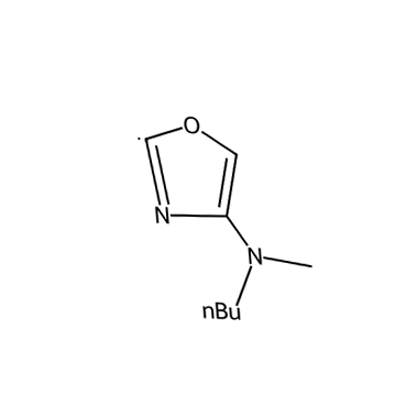 CCCCN(C)c1co[c]n1